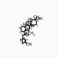 CC1C[C@H]2[C@@H](CC[C@@H]3C[C@](C)(O)CCC[C@@H]32)[C@@H]2CCC[C@H](C(=O)Cn3cc(C#N)cn3)[C@@H]12